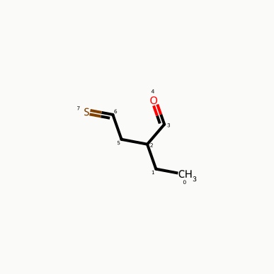 CCC(C=O)CC=S